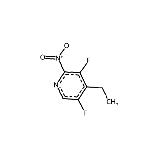 CCc1c(F)cnc([N+](=O)[O-])c1F